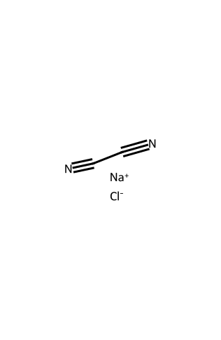 N#CC#N.[Cl-].[Na+]